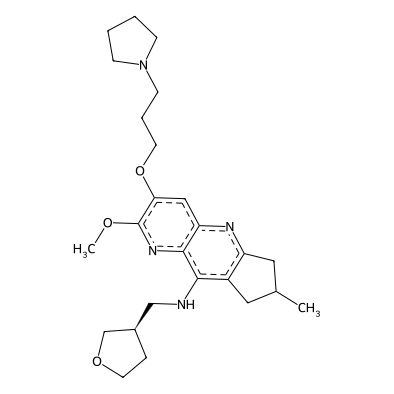 COc1nc2c(NC[C@H]3CCOC3)c3c(nc2cc1OCCCN1CCCC1)CC(C)C3